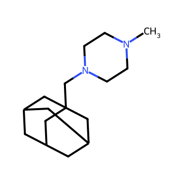 CN1CCN(CC23CC4CC(CC(C4)C2)C3)CC1